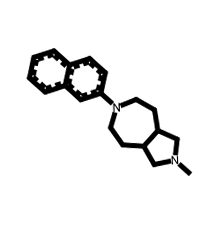 CN1CC2CCN(c3ccc4ccccc4c3)CCC2C1